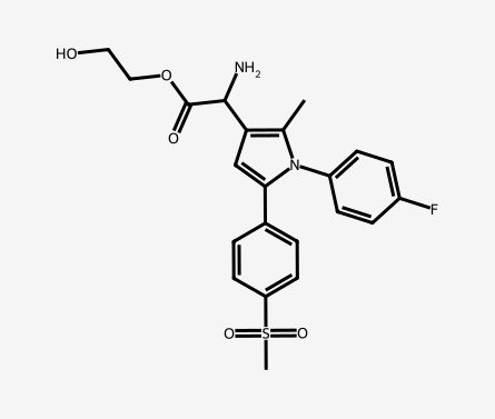 Cc1c(C(N)C(=O)OCCO)cc(-c2ccc(S(C)(=O)=O)cc2)n1-c1ccc(F)cc1